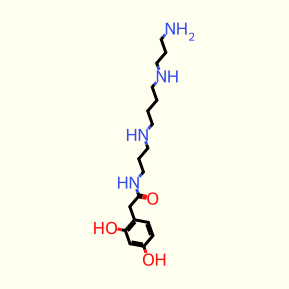 NCCCNCCCCNCCCNC(=O)Cc1ccc(O)cc1O